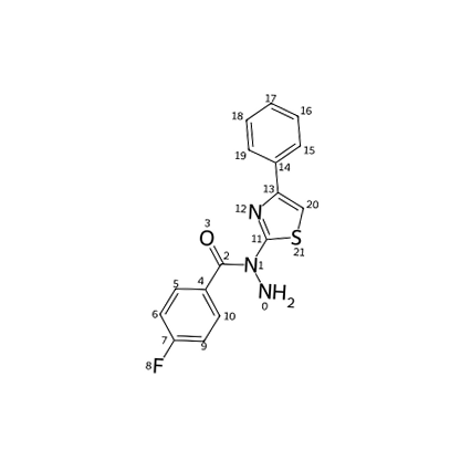 NN(C(=O)c1ccc(F)cc1)c1nc(-c2ccccc2)cs1